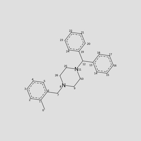 Cc1ccccc1CN1CCN(C(c2ccccc2)c2ccccc2)CC1